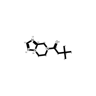 CC(C)(C)CC(=O)N1CCn2ncnc2C1